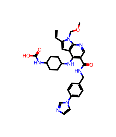 C=Cc1cc2c(NC3CCC(NC(=O)O)CC3)c(C(=O)NCc3ccc(-n4ccnc4)cc3)cnc2n1COC